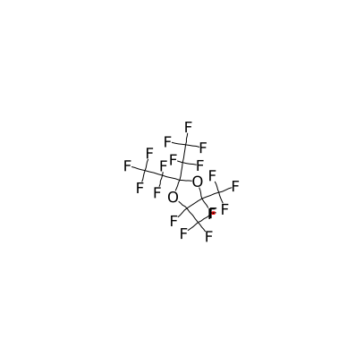 FC(F)(F)C(F)(F)C1(C(F)(F)C(F)(F)F)OC(F)(C(F)(F)F)C(F)(C(F)(F)F)O1